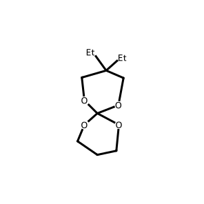 CCC1(CC)COC2(OCCCO2)OC1